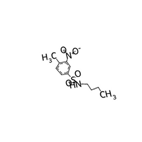 CCCCNS(=O)(=O)c1ccc(C)c([N+](=O)[O-])c1